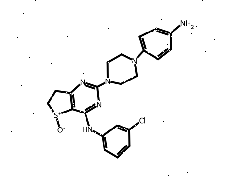 Nc1ccc(N2CCN(c3nc4c(c(Nc5cccc(Cl)c5)n3)[S+]([O-])CC4)CC2)cc1